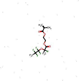 C=C(C)C(=O)OCCOC(=O)C(F)(OC(F)(F)C(F)(F)C(F)(F)F)C(F)(F)F